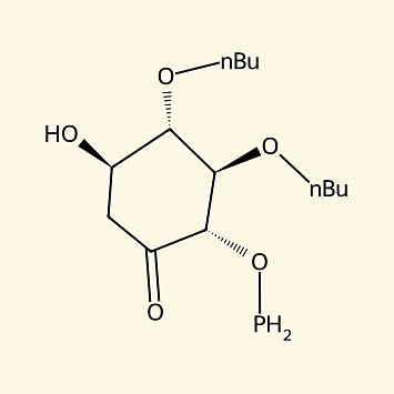 CCCCO[C@@H]1[C@@H](OCCCC)[C@H](OP)C(=O)C[C@H]1O